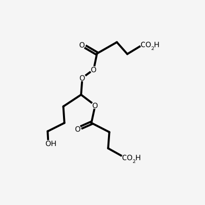 O=C(O)CCC(=O)OOC(CCCO)OC(=O)CCC(=O)O